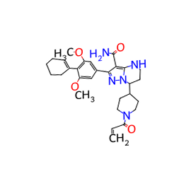 C=CC(=O)N1CCC(C2CCNc3c(C(N)=O)c(-c4cc(OC)c(C5=CCCCC5)c(OC)c4)nn32)CC1